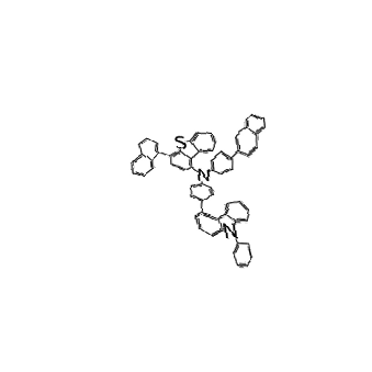 c1ccc(-n2c3ccccc3c3c(-c4ccc(N(c5ccc(-c6ccc7ccccc7c6)cc5)c5ccc(-c6cccc7ccccc67)c6sc7ccccc7c56)cc4)cccc32)cc1